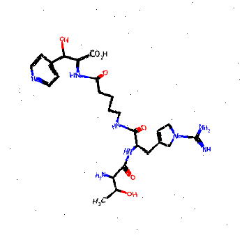 CC(O)C(N)C(=O)NC(CC1=CCN(C(=N)N)C1)C(=O)NCCCCC(=O)NC(C(=O)O)C(O)c1ccncc1